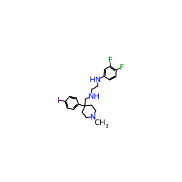 CN1CCC(CNCCNc2ccc(F)c(F)c2)(c2ccc(I)cc2)CC1